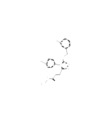 CCCCNC(=O)CCc1nnc(SCc2cccc(Cl)c2)n1-c1ccc(Cl)cc1